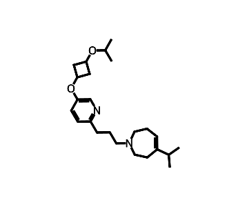 CC(C)OC1CC(Oc2ccc(CCCN3CCC=C(C(C)C)CC3)nc2)C1